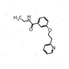 CCNC(=O)c1cccc(OCCc2ccccn2)c1